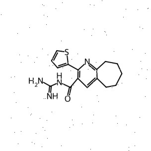 N=C(N)NC(=O)c1cc2c(nc1-c1cccs1)CCCCC2